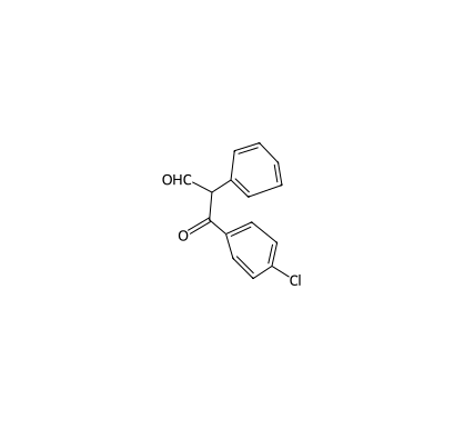 O=CC(C(=O)c1ccc(Cl)cc1)c1ccccc1